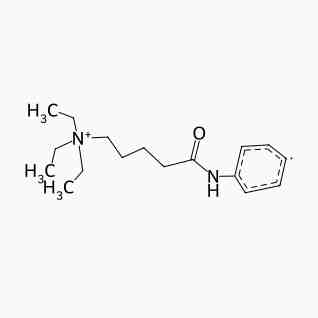 CC[N+](CC)(CC)CCCCC(=O)Nc1cc[c]cc1